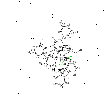 CCC1=Cc2c(ccc(C)c2-c2cc(C)cc(C)c2)[CH]1[Zr]([Cl])([Cl])([c]1cccc2c1[SiH2]c1ccccc1-2)[CH]1C(CC)=Cc2c1ccc(C)c2-c1cc(C)cc(C)c1